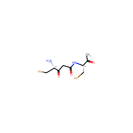 CC(=O)[C@H](CS)NC(=O)CC(=O)[C@@H](N)CS